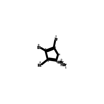 Br.Br.CCC1=CC[C]([Zr])=C1CC